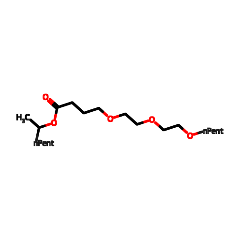 CCCCCOCCOCCOCCCC(=O)OC(C)CCCCC